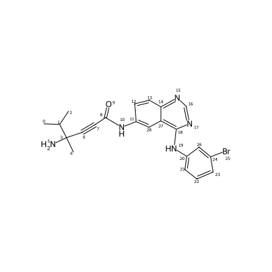 CC(C)C(C)(N)C#CC(=O)Nc1ccc2ncnc(Nc3cccc(Br)c3)c2c1